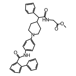 COC(=O)CNC(=O)C(c1ccccc1)C1CCN(c2ccc(NC(=O)c3ccccc3-c3ccccc3)cc2)CC1